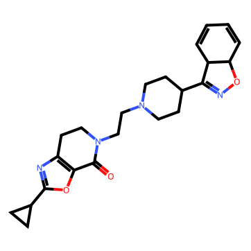 O=C1c2oc(C3CC3)nc2CCN1CCN1CCC(C2=NOC3C=CC=CC23)CC1